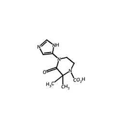 CC1(C)C(=O)N(c2cnc[nH]2)CCN1C(=O)O